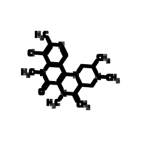 C=C1C2CN(C)C(C)CN2c2c(c(=O)n(C)c3c(Cl)c(C)ncc23)N1C